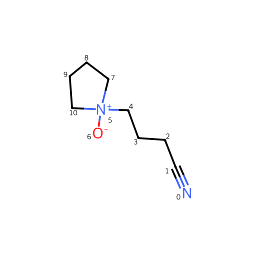 N#CCCC[N+]1([O-])CCCC1